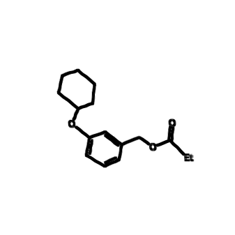 CCC(=O)OCc1cccc(OC2CCCCC2)c1